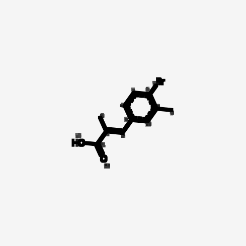 C/C(=C\c1ccc(Br)c(C)c1)C(=O)O